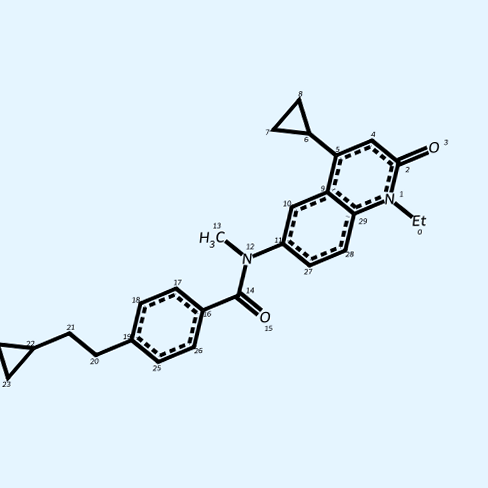 CCn1c(=O)cc(C2CC2)c2cc(N(C)C(=O)c3ccc(CCC4CC4)cc3)ccc21